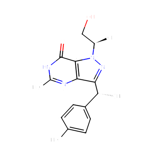 Cc1ccc([C@@H](C)c2nn([C@H](C)CO)c3c(=O)[nH]c(C)nc23)cc1